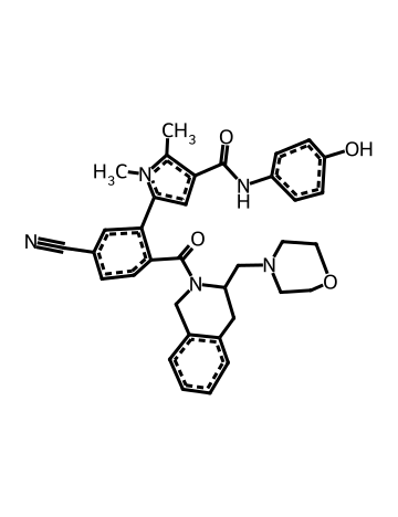 Cc1c(C(=O)Nc2ccc(O)cc2)cc(-c2cc(C#N)ccc2C(=O)N2Cc3ccccc3CC2CN2CCOCC2)n1C